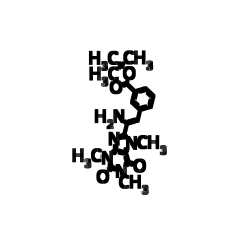 Cn1c(=O)c2c(nc(C(N)=Cc3cccc(C(=O)OC(C)(C)C)c3)n2C)n(C)c1=O